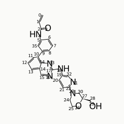 C=CC(=O)Nc1cccc(-c2cccc3cnc(Nc4ccc(N5CCO[C@H](CO)C5)nc4)nc23)c1